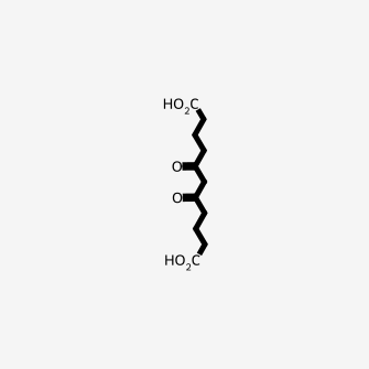 O=C(O)CCCC(=O)CC(=O)CCCC(=O)O